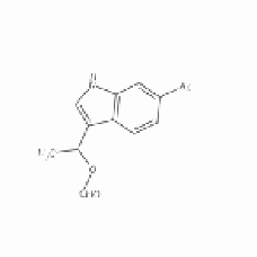 CC(=O)c1ccc2c(C(C)OC=O)c[nH]c2c1